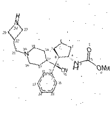 COC(=O)N[C@H]1CCC[C@@H]1[C@](C#N)(c1ccccc1)C1CCN(CC2CNC2)CC1